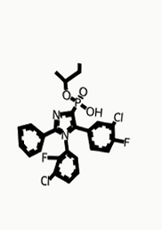 CCC(C)OP(=O)(O)c1nc(-c2ccccc2)n(-c2cccc(Cl)c2F)c1-c1ccc(F)c(Cl)c1